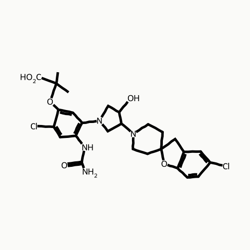 CC(C)(Oc1cc(N2CC(O)C(N3CCC4(CC3)Cc3cc(Cl)ccc3O4)C2)c(NC(N)=O)cc1Cl)C(=O)O